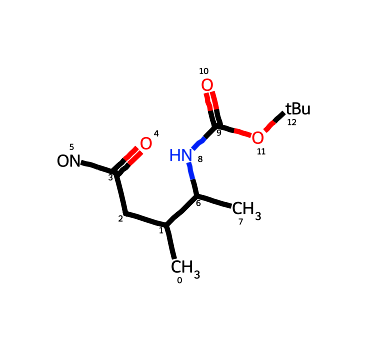 CC(CC(=O)N=O)C(C)NC(=O)OC(C)(C)C